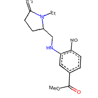 C=C1CCC(CNc2cc(C(=O)OC)ccc2N=O)N1CC